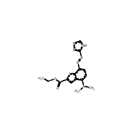 CCOC(=O)c1cc2c(N(C)C)ccc(/N=N/c3nnc[nH]3)c2s1